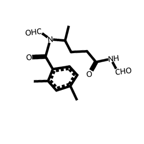 Cc1ccc(C(=O)N(C=O)C(C)CCC(=O)NC=O)c(C)c1